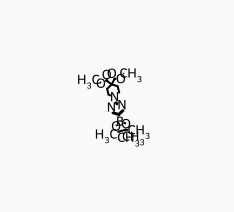 COC(=O)C1(C(=O)OC)CCN(c2ncc(B3OC(C)(C)C(C)(C)O3)cn2)CC1